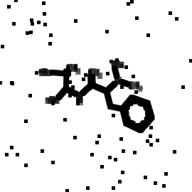 C=C(NC(CCCC)C(=C)C(C)(C)C)C(Cc1ccccc1)N(C)C(C)(C)C